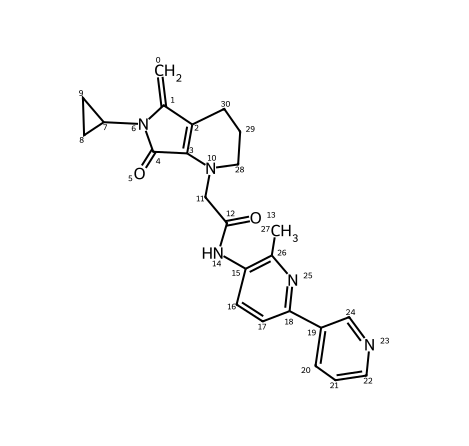 C=C1C2=C(C(=O)N1C1CC1)N(CC(=O)Nc1ccc(-c3cccnc3)nc1C)CCC2